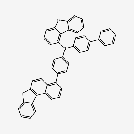 c1ccc(-c2ccc(N(c3ccc(-c4cccc5c4ccc4sc6ccccc6c45)cc3)c3cccc4oc5ccccc5c34)cc2)cc1